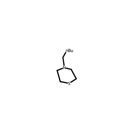 [CH2]CCCCN1CCSCC1